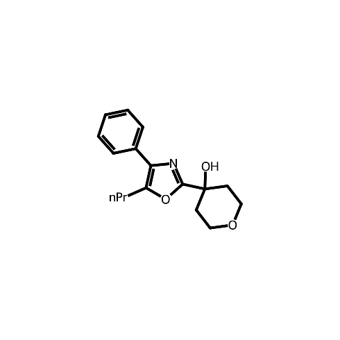 CCCc1oc(C2(O)CCOCC2)nc1-c1ccccc1